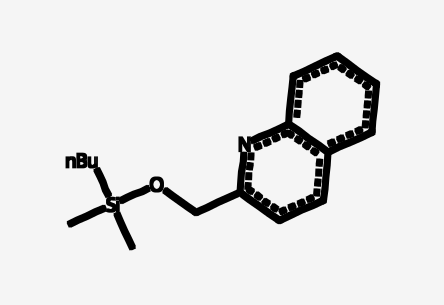 CCCC[Si](C)(C)OCc1ccc2ccccc2n1